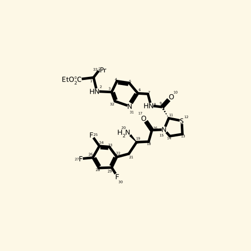 CCOC(=O)C(Nc1ccc(CNC(=O)[C@@H]2SCCN2C(=O)C[C@H](N)Cc2cc(F)c(F)cc2F)nc1)C(C)C